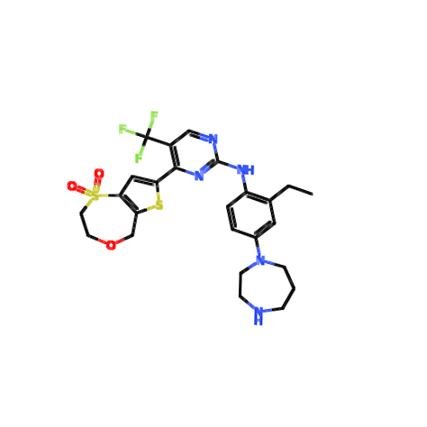 CCc1cc(N2CCCNCC2)ccc1Nc1ncc(C(F)(F)F)c(-c2cc3c(s2)COCCS3(=O)=O)n1